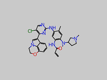 C=CC(=O)Nc1cc(Nc2ncc(Cl)c(-c3cn4c5c(cccc35)OCC4)n2)c(C)cc1N(C)C1CCN(C)C1